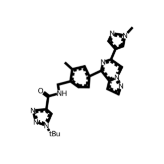 Cc1cc(-c2nc(-c3cnn(C)c3)cn3nccc23)ccc1CNC(=O)c1cn(C(C)(C)C)nn1